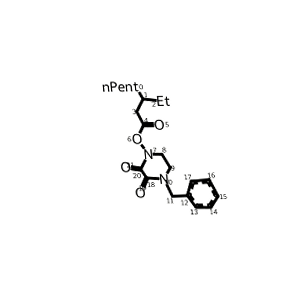 CCCCCC(CC)CC(=O)ON1CCN(Cc2ccccc2)C(=O)C1=O